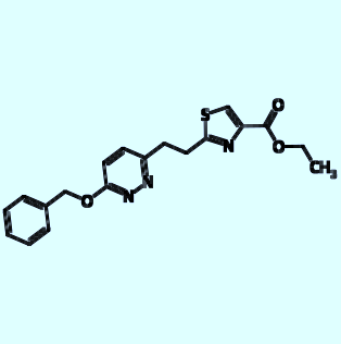 CCOC(=O)c1csc(CCc2ccc(OCc3ccccc3)nn2)n1